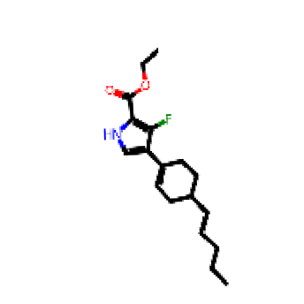 CCCCCC1CC=C(c2c[nH]c(C(=O)OCC)c2F)CC1